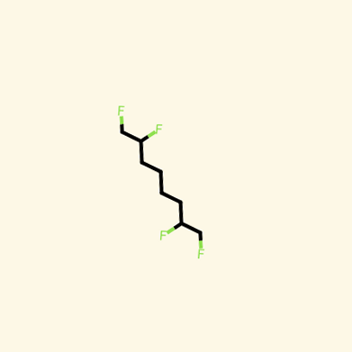 FCC(F)CCCCC(F)CF